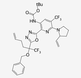 C=CCCC(OCc1ccccc1)(c1nnc(-c2nc(N3CCCC3C=C)c(C(F)(F)F)cc2NC(=O)OC(C)(C)C)o1)C(F)(F)F